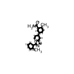 Cc1ccc(-c2ccn3c(-c4ccccc4C)nnc3c2)cc1C(N)=O